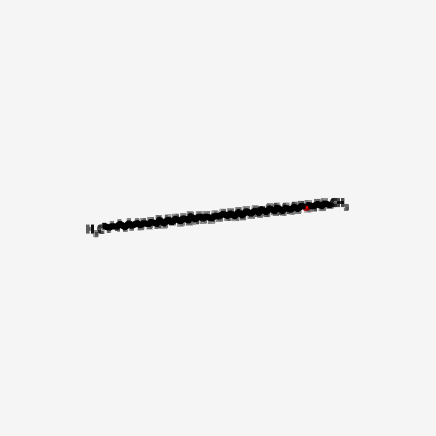 CCCCCCCCCCCCCCCCCC=CCCCCCCCCCCC[CH]CCCCCCCCCC=CCCCCCCCCCCCCCCCCCC